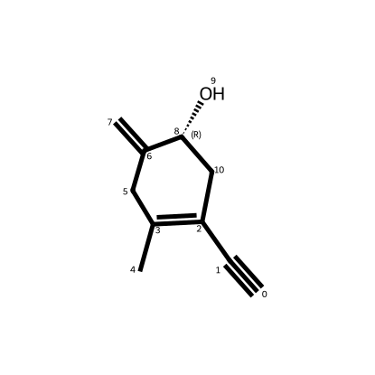 C#CC1=C(C)CC(=C)[C@H](O)C1